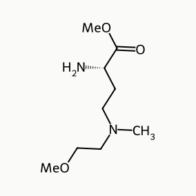 COCCN(C)CC[C@H](N)C(=O)OC